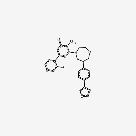 Cn1c(N2CCOCC(c3ccc(-c4ncon4)cc3)C2)nc(-c2ccncc2F)cc1=O